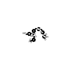 O=C1CCN(c2ccc(CN3CCN(Cc4ccc5c(c4)nc(NC(=O)c4cccc(C(F)(F)F)c4)n5C4CCC(CO)CC4)CC3)nn2)C(=O)N1